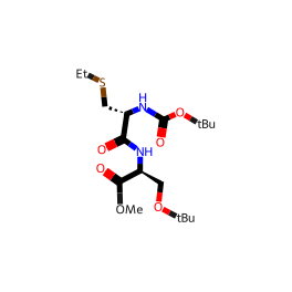 [CH2]CSC[C@H](NC(=O)OC(C)(C)C)C(=O)N[C@@H](COC(C)(C)C)C(=O)OC